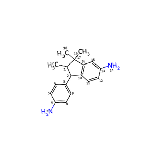 CC1C(c2ccc(N)cc2)c2ccc(N)cc2C1(C)C